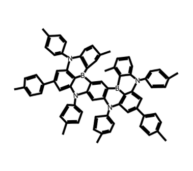 Cc1ccc(-c2cc3c4c(c2)N(c2ccc(C)cc2)c2cc5c(cc2B4c2cc(C)ccc2N3c2ccc(C)cc2)B2c3c(C)cccc3N(c3ccc(C)cc3)c3cc(-c4ccc(C)cc4)cc(c32)N5c2ccc(C)cc2)cc1